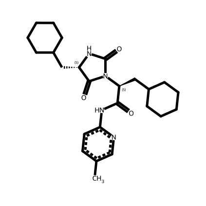 Cc1ccc(NC(=O)[C@H](CC2CCCCC2)N2C(=O)N[C@@H](CC3CCCCC3)C2=O)nc1